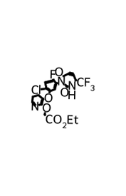 CCOC(=O)COC1=C(Oc2cc(N3C(=O)C#CC(C(F)(F)F)NC3=O)c(F)cc2Cl)CCC=N1